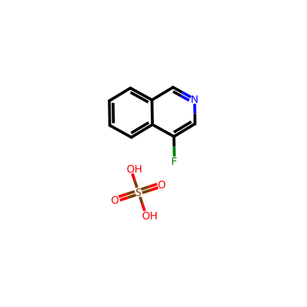 Fc1cncc2ccccc12.O=S(=O)(O)O